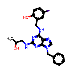 CC(O)CNc1nc(NCc2cc(I)ccc2O)c2ncn(Cc3ccccc3)c2n1